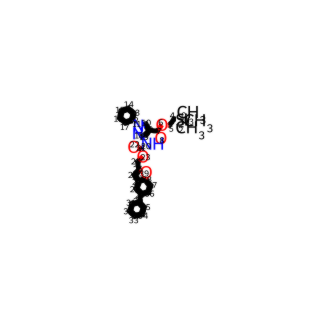 C[Si](C)(C)CCOC(=O)c1cn(-c2ccccc2)nc1NC(=O)OCc1cc2cc(-c3ccccc3)ccc2o1